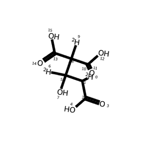 [2H]C(C(=O)O)C([2H])(O)C([2H])(C(=O)O)C(=O)O